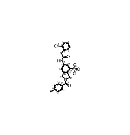 O=C(Cc1ccccc1Cl)Nc1cc2c(c(S(=O)(=O)Cl)c1)CN(C(=O)c1ccc(F)cc1)C2